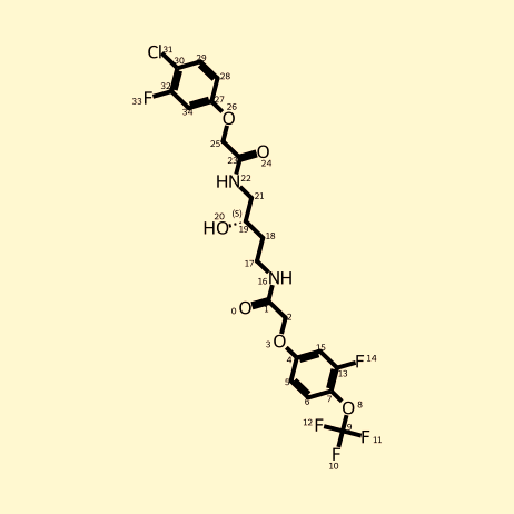 O=C(COc1ccc(OC(F)(F)F)c(F)c1)NCC[C@H](O)CNC(=O)COc1ccc(Cl)c(F)c1